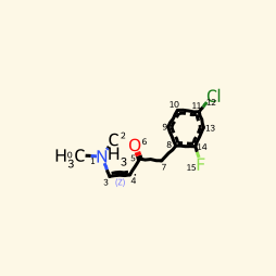 CN(C)/C=[C]\C(=O)Cc1ccc(Cl)cc1F